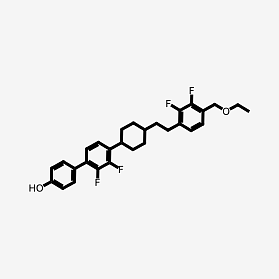 CCOCc1ccc(CCC2CCC(c3ccc(-c4ccc(O)cc4)c(F)c3F)CC2)c(F)c1F